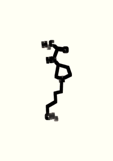 CCCCCN1CCC(NC(C)=O)C1